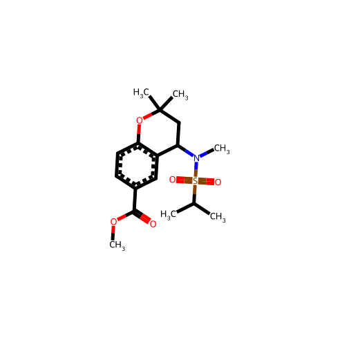 COC(=O)c1ccc2c(c1)C(N(C)S(=O)(=O)C(C)C)CC(C)(C)O2